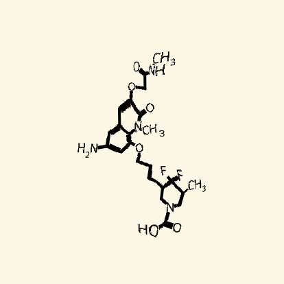 CNC(=O)COc1cc2cc(N)cc(OCCCC3CN(C(=O)O)C[C@H](C)C3(F)F)c2n(C)c1=O